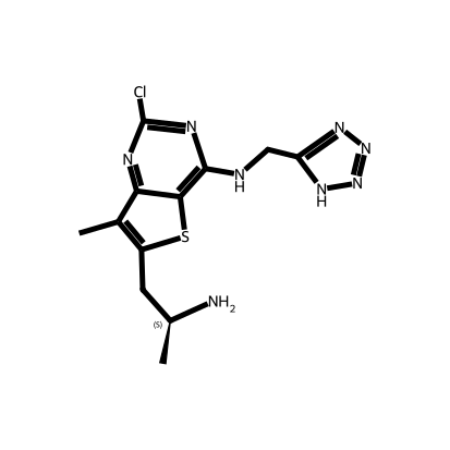 Cc1c(C[C@H](C)N)sc2c(NCc3nnn[nH]3)nc(Cl)nc12